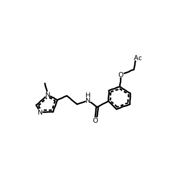 CC(=O)COc1cccc(C(=O)NCCc2cncn2C)c1